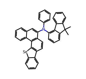 CC1(C)c2ccccc2-c2c(N(c3ccccc3)c3cc4ccccc4c4c3ccc3c5ccccc5[se]c34)cccc21